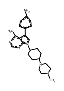 CN1CCN(C2CCC(n3cc(-c4ccc(N)cc4)c4c(N)ncnc43)CC2)CC1